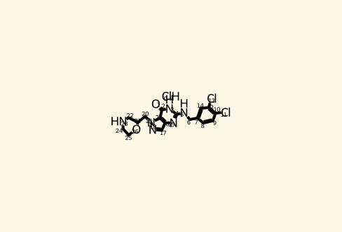 Cl.O=c1[nH]c(NCc2ccc(Cl)c(Cl)c2)nc2cnn(CC3CNCCO3)c12